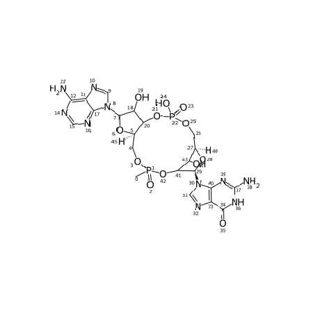 CP1(=O)OC[C@H]2OC(n3cnc4c(N)ncnc43)C(O)C2OP(=O)(O)OC[C@H]2O[C@@H](n3cnc4c(=O)[nH]c(N)nc43)C(O1)C2O